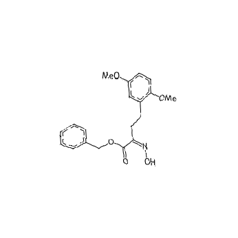 COc1ccc(OC)c(CCC(=NO)C(=O)OCc2ccccc2)c1